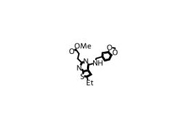 CCc1cc2c(NCc3ccc4c(c3)OCO4)nc(CCC(=O)OC)nc2s1